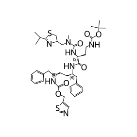 CC(C)C1=NC(CN(C)C(=O)N[C@@H](CCNC(=O)OC(C)(C)C)C(=O)N[C@H](CC[C@H](Cc2ccccc2)NC(=O)OCc2cncs2)Cc2ccccc2)CS1